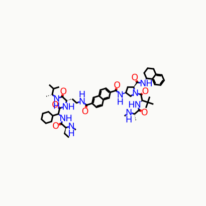 CC[C@H](NC)C(=O)N[C@H](C(=O)N[C@@H](CCNC(=O)c1ccc2cc(C(=O)N[C@H]3C[C@@H](C(=O)N[C@@H]4CCCc5ccccc54)N(C(=O)[C@@H](NC(=O)[C@H](C)NC)C(C)(C)C)C3)ccc2c1)C(=O)N[C@H](C)C(C)C)C1CCCCC1